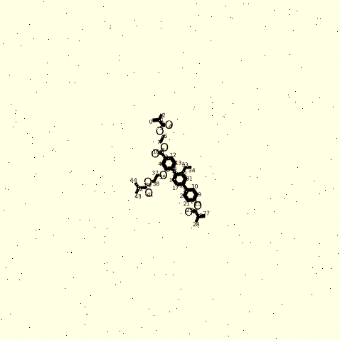 C=C(C)C(=O)OCCOC(=O)c1ccc(-c2ccc(-c3ccc(OC(=O)C(=C)C)cc3)cc2CC)c(OCCOC(=O)C(C)C)c1